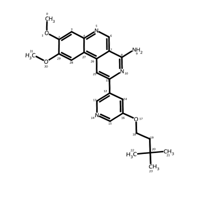 COc1cc2ncc3c(N)nc(-c4cncc(OC[CH]C(C)(C)C)c4)cc3c2cc1OC